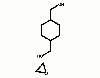 C1CO1.OCC1CCC(CO)CC1